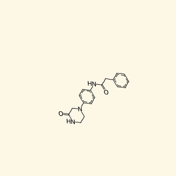 O=C1CN(c2ccc(NC(=O)Cc3ccccc3)cc2)CCN1